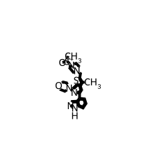 Cc1c(CN2CCN([S+](C)[O-])CC2)sc2c(N3CCOCC3)nc(-c3cccc4[nH]ncc34)cc12